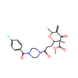 C=C1C(=O)C(C)(C(=O)OC)C(CCC(=O)N2CCN(C(=O)c3ccc(F)cc3)CC2)OC1C